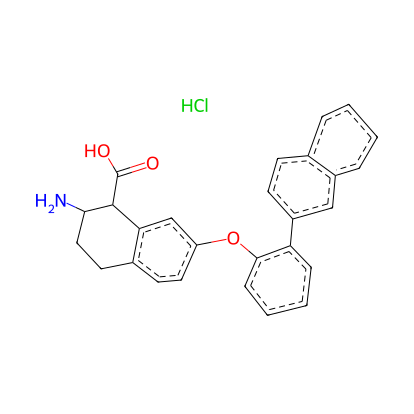 Cl.NC1CCc2ccc(Oc3ccccc3-c3ccc4ccccc4c3)cc2C1C(=O)O